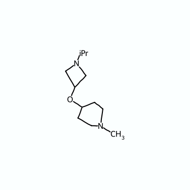 CC(C)N1CC(OC2CCN(C)CC2)C1